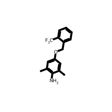 Cc1cc(OCc2ccccc2C(F)(F)F)cc(C)c1N